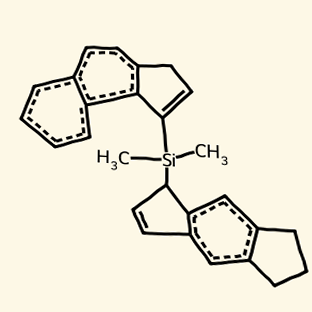 C[Si](C)(C1=CCc2ccc3ccccc3c21)C1C=Cc2cc3c(cc21)CCC3